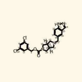 O=C(OCc1cc(Cl)cc(Cl)c1)N1C[C@@H]2CN(Cc3ccc4[nH]ncc4c3)C[C@H]2C1